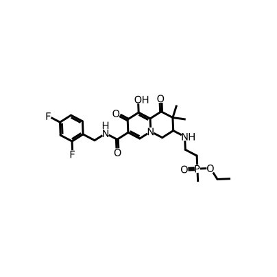 CCOP(C)(=O)CCNC1Cn2cc(C(=O)NCc3ccc(F)cc3F)c(=O)c(O)c2C(=O)C1(C)C